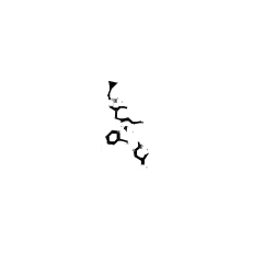 Cc1nn(CC2CC2)cc1Cc1cc(C(F)F)nn1-c1ccc(F)cc1COc1cc(Br)cnc1C